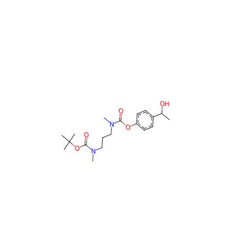 CC(O)c1ccc(OC(=O)N(C)CCCN(C)C(=O)OC(C)(C)C)cc1